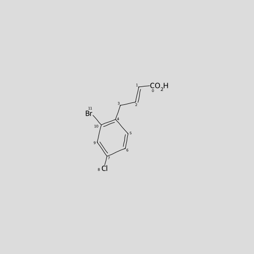 O=C(O)/C=C/Cc1ccc(Cl)cc1Br